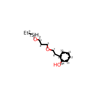 CC[SiH2]OCCCOCCc1ccccc1O